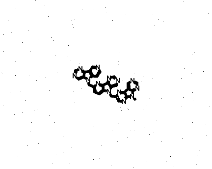 Cn1c2ncncc2c2nc(Cn3c4cncnc4c4nc(Cn5c6ccncc6c6ncncc65)ccc43)cnc21